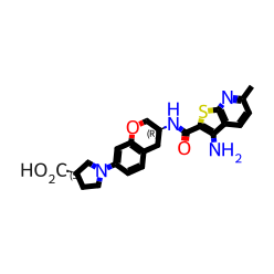 Cc1ccc2c(N)c(C(=O)N[C@H]3COc4cc(N5CC[C@H](C(=O)O)C5)ccc4C3)sc2n1